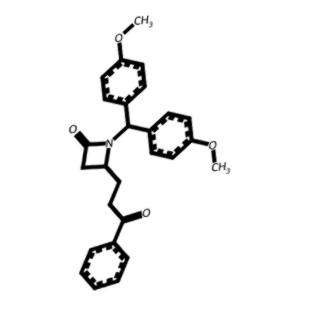 COc1ccc(C(c2ccc(OC)cc2)N2C(=O)CC2CCC(=O)c2ccccc2)cc1